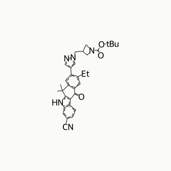 CCc1cc2c(cc1-c1cnn(CC3CN(C(=O)OC(C)(C)C)C3)c1)C(C)(C)c1[nH]c3cc(C#N)ccc3c1C2=O